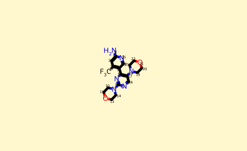 Nc1cc(C(F)(F)F)c(-c2nc(N3CCOCC3)ncc2N2CCOCC2)cn1